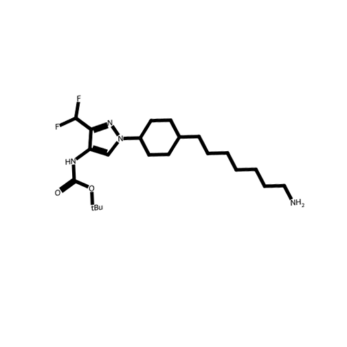 CC(C)(C)OC(=O)Nc1cn(C2CCC(CCCCCCCN)CC2)nc1C(F)F